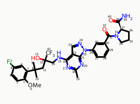 COc1ccc(F)cc1C(C)(C)CC(O)(CNc1nc(C)nc2c1cnn2-c1cccc(C(=O)N2CCC[C@@H]2C(N)=O)c1)C(F)(F)F